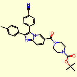 Cc1ccc(-c2nc3ccc(C(=O)N4CCN(C(=O)OC(C)(C)C)CC4)cn3c2-c2ccc(C#N)cc2)cc1